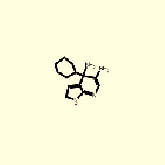 NC1=CN=C2NCC=C2C1(N)C1CCCCC1